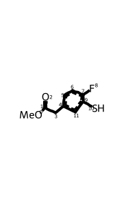 COC(=O)Cc1ccc(F)c(S)c1